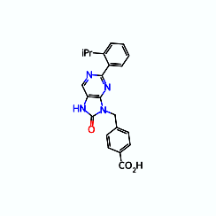 CC(C)c1ccccc1-c1ncc2[nH]c(=O)n(Cc3ccc(C(=O)O)cc3)c2n1